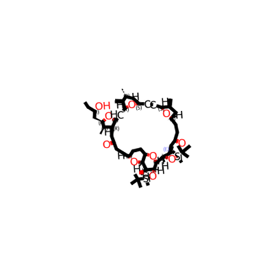 C=C1C[C@@H]2CCC(=O)/C=C/[C@H](O[Si](C)(C)C(C)(C)C)[C@@H]3OC4CC[C@H](CC(=O)C[C@@H]5[C@@H](C)[C@@H](C[C@H](O)CC)O[C@H]5C[C@H]5O[C@@H](CC[C@@H]1O2)C[C@@H](C)C5=C)O[C@@H]4[C@H](C)[C@@H]3O[Si](C)(C)C(C)(C)C